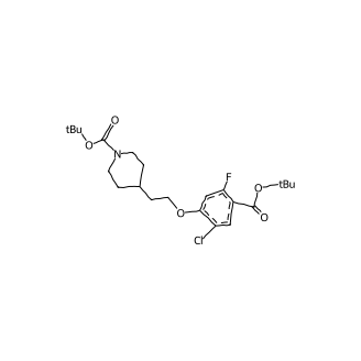 CC(C)(C)OC(=O)c1cc(Cl)c(OCCC2CCN(C(=O)OC(C)(C)C)CC2)cc1F